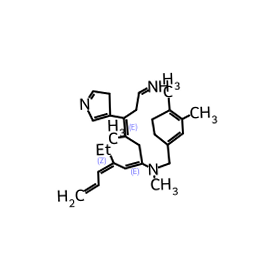 C=C/C=C(\C=C(/C/C(C)=C(\CC=N)C1=CN=CC1)N(C)CC1=CC(C)=C(C)CC1)CC